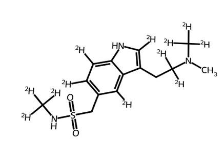 [2H]c1[nH]c2c([2H])c([2H])c(CS(=O)(=O)NC([2H])([2H])[2H])c([2H])c2c1CC([2H])([2H])N(C)C([2H])([2H])[2H]